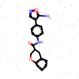 Nc1oncc1-c1ccc(NC(=O)C2COc3ccccc3C2)cc1